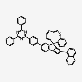 C1=C\C=C\C2(c3ccccc3S/C=C/1)c1cc(-c3ccc(-c4nc(-c5ccccc5)nc(-c5ccccc5)n4)cc3)ccc1-c1ccc(-c3cccc4ccncc34)cc12